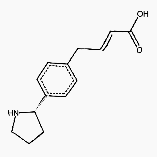 O=C(O)/C=C/Cc1ccc([C@@H]2CCCN2)cc1